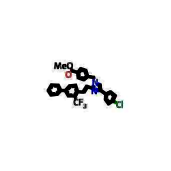 COC(=O)c1ccc(Cn2cc(-c3ccc(Cl)cc3)nc2/C=C/c2ccc(-c3ccccc3)cc2C(F)(F)F)cc1